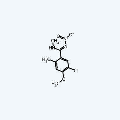 CN/C(=N\[N+](=O)[O-])c1cc(Cl)c(OC)cc1C